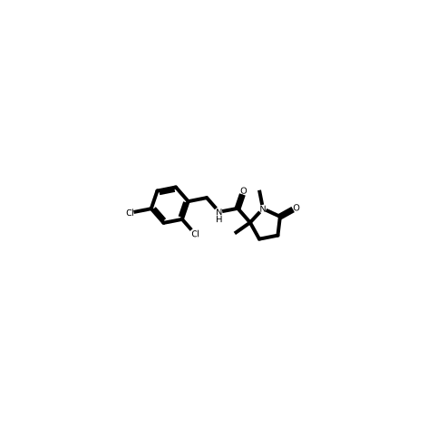 CN1C(=O)CCC1(C)C(=O)NCc1ccc(Cl)cc1Cl